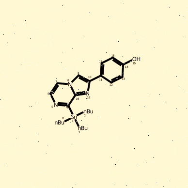 CCC[CH2][Sn]([CH2]CCC)([CH2]CCC)[c]1nccn2cc(-c3ccc(O)cc3)nc12